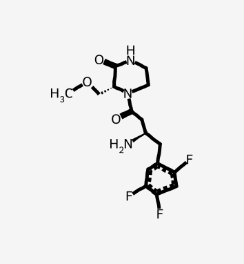 COC[C@@H]1C(=O)NCCN1C(=O)C[C@H](N)Cc1cc(F)c(F)cc1F